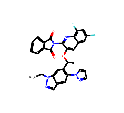 C[C@H](Oc1cc2cc(F)cc(F)c2nc1N1C(=O)c2ccccc2C1=O)c1cc2c(cnn2CC(=O)O)cc1-n1cccn1